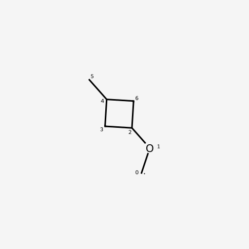 [CH2]OC1CC(C)C1